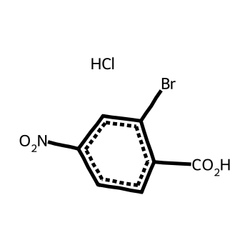 Cl.O=C(O)c1ccc([N+](=O)[O-])cc1Br